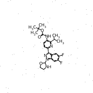 CC(C)c1nc(-c2nn(C3NCCO3)c3cc(F)c(F)cc23)ccc1NC(=O)OC(C)(C)C